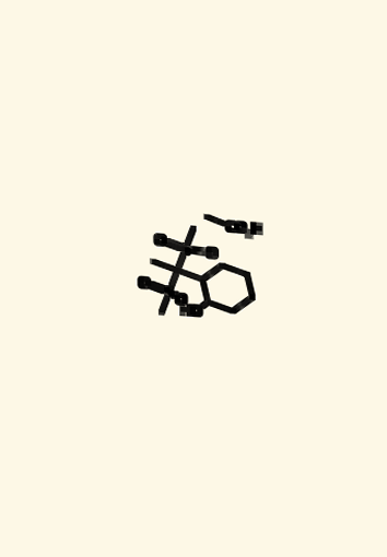 CC(=O)O.CC(C1CCCCC1O)(S(C)(=O)=O)S(C)(=O)=O